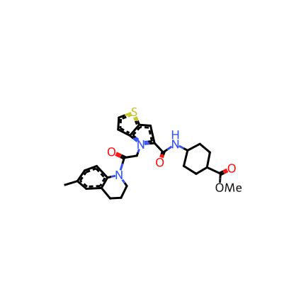 COC(=O)C1CCC(NC(=O)c2cc3sccc3n2CC(=O)N2CCCc3cc(C)ccc32)CC1